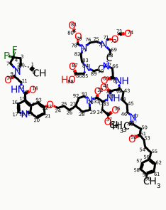 C#C[C@H]1CC(F)(F)CN1C(=O)CNC(=O)c1ccnc2ccc(OCCCC3CCN(C(=O)[C@H](CC(=O)OC)NC(=O)[C@H](CCCC/N=C(\C)CC(=O)CCCc4ccc(C)cc4)NC(=O)CN4CCN(COC=O)CCN(COC=O)CCN(CC(=O)O)CC4)CC3)cc12